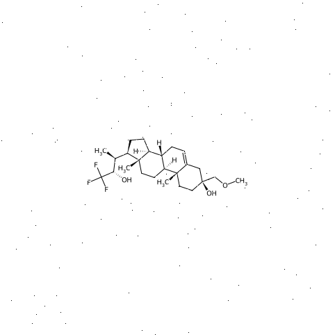 COC[C@]1(O)CC[C@@]2(C)C(=CC[C@H]3[C@@H]4CC[C@H]([C@H](C)[C@H](O)C(F)(F)F)[C@@]4(C)CC[C@@H]32)C1